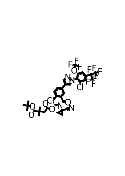 CC(C)(C)OC(=O)C(C)(C)CC(=O)OCN(C(=O)c1cc(-c2cnn(-c3c(Cl)cc(C(F)(C(F)(F)F)C(F)(F)F)cc3OC(F)(F)F)c2)ccc1Cl)C1(C#N)CC1